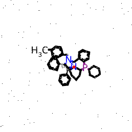 Cc1ccc(CN2C(c3ccccc3P(C3CCCCC3)C3CCCCC3)=N[C@@H](c3ccccc3)[C@@H]2c2ccccc2)cc1